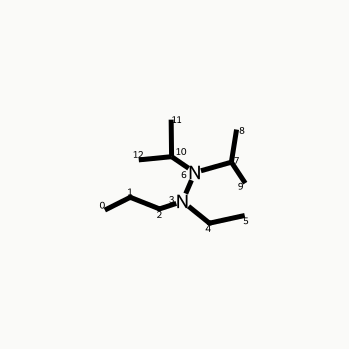 CCCN(CC)N(C(C)C)C(C)C